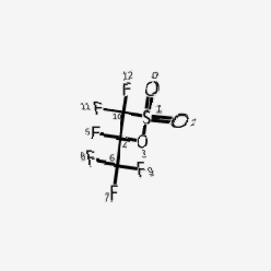 O=S1(=O)OC(F)(C(F)(F)F)C1(F)F